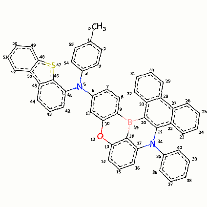 Cc1ccc(N(c2ccc3c(c2)Oc2cccc4c2B3c2c(c3ccccc3c3ccccc23)N4c2ccccc2)c2cccc3c2sc2ccccc23)cc1